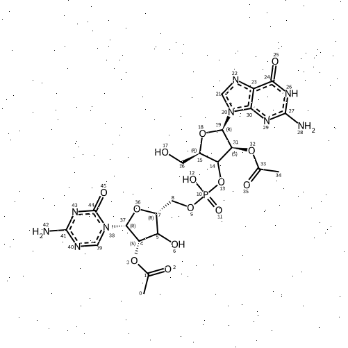 CC(=O)O[C@H]1C(O)[C@@H](COP(=O)(O)OC2[C@@H](CO)O[C@@H](n3cnc4c(=O)[nH]c(N)nc43)[C@H]2OC(C)=O)O[C@H]1n1cnc(N)nc1=O